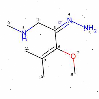 CNC/C(=N/N)C(OC)=C(C)C